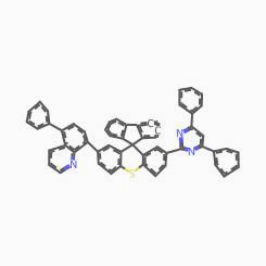 c1ccc(-c2cc(-c3ccccc3)nc(-c3ccc4c(c3)C3(c5cc(-c6ccc(-c7ccccc7)c7cccnc67)ccc5S4)c4ccccc4-c4ccccc43)n2)cc1